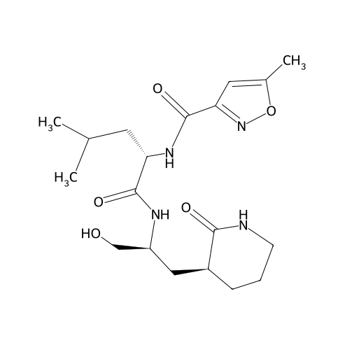 Cc1cc(C(=O)N[C@@H](CC(C)C)C(=O)N[C@H](CO)C[C@@H]2CCCNC2=O)no1